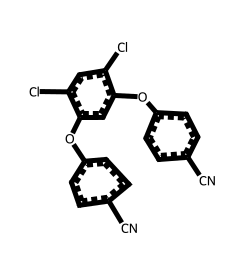 N#Cc1ccc(Oc2cc(Oc3ccc(C#N)cc3)c(Cl)cc2Cl)cc1